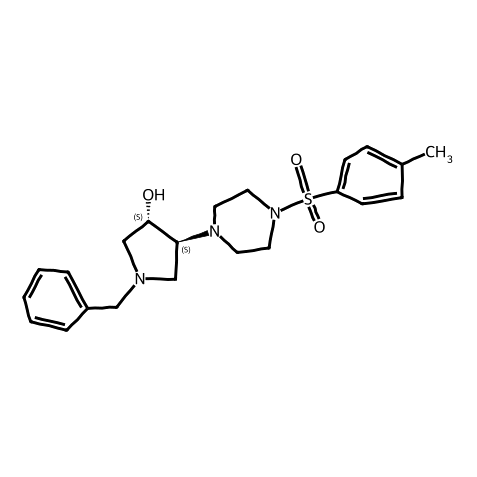 Cc1ccc(S(=O)(=O)N2CCN([C@H]3CN(Cc4ccccc4)C[C@@H]3O)CC2)cc1